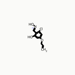 C=CCOc1cc(O)c(/C=N/O)c(Cl)c1